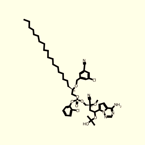 CCCCCCCCCCCCCCCCCCC[C@H](COP(=O)(OC[C@](C#N)(CC(OC(C)(C)O)c1ccc2c(N)ncnn12)OC)Oc1ccccc1Cl)OCc1cc(Cl)cc(C#N)c1